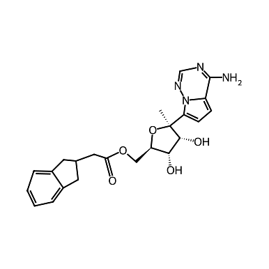 C[C@@]1(c2ccc3c(N)ncnn23)O[C@H](COC(=O)CC2Cc3ccccc3C2)[C@@H](O)[C@H]1O